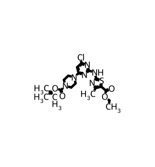 CCOC(=O)c1sc(Nc2nc(Cl)cc(N3CCN(C(=O)OC(C)(C)C)CC3)n2)nc1C